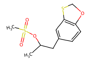 CC(Cc1ccc2c(c1)SCO2)OS(C)(=O)=O